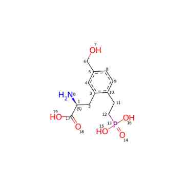 N[C@@H](Cc1cc(CO)ccc1CCP(=O)(O)O)C(=O)O